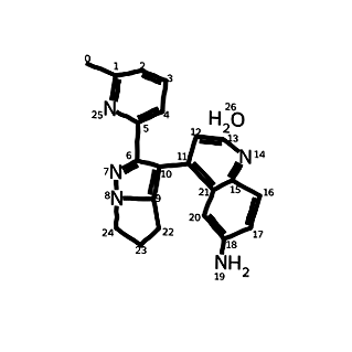 Cc1cccc(-c2nn3c(c2-c2ccnc4ccc(N)cc24)CCC3)n1.O